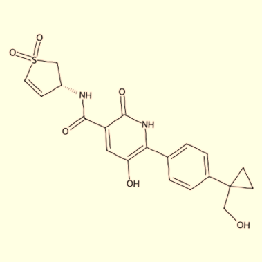 O=C(N[C@@H]1C=CS(=O)(=O)C1)c1cc(O)c(-c2ccc(C3(CO)CC3)cc2)[nH]c1=O